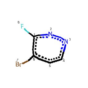 Fc1nn[c]cc1Br